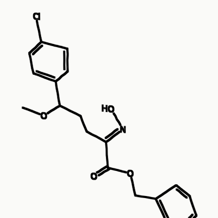 COC(CCC(=NO)C(=O)OCc1ccccc1)c1ccc(Cl)cc1